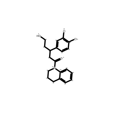 O=C(CC(CCO)c1ccc(Cl)c(Cl)c1)N1CCCc2ccccc21